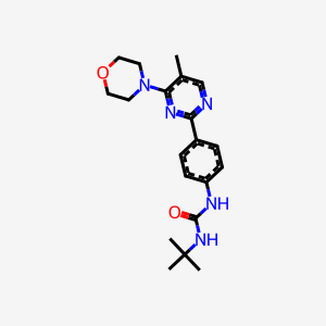 Cc1cnc(-c2ccc(NC(=O)NC(C)(C)C)cc2)nc1N1CCOCC1